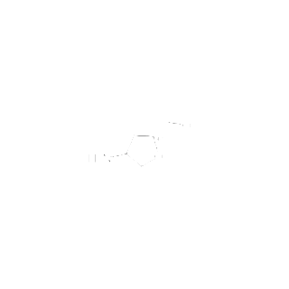 NC1CO[C@@H](CO)C1